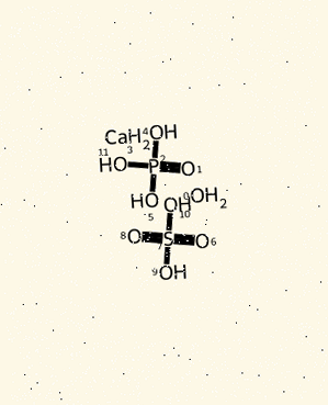 O.O=P(O)(O)O.O=S(=O)(O)O.[CaH2]